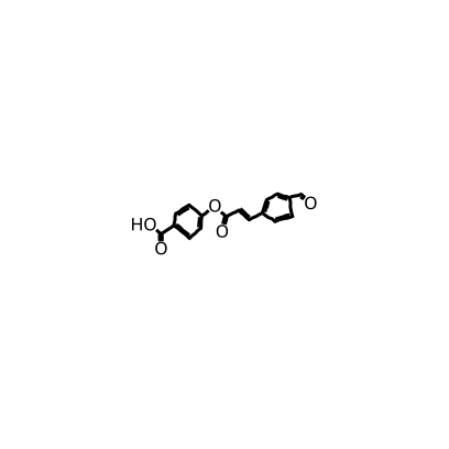 O=Cc1ccc(C=CC(=O)Oc2ccc(C(=O)O)cc2)cc1